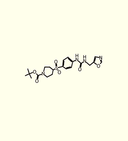 CC(C)(C)OC(=O)N1CCC(S(=O)(=O)c2ccc(NC(=O)NCc3cnco3)cc2)CC1